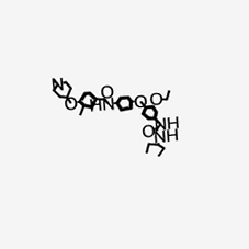 CCOc1cc(NC(=O)NC(CC)CC)ccc1Oc1ccc(NC(=O)c2ccc(OC3CCN(C)CC3)c(C)c2)cc1